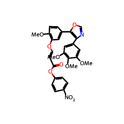 COc1ccc(-c2ocnc2-c2cc(OC)c(OC)c(OC)c2)cc1O/C=C/C(=O)Oc1ccc([N+](=O)[O-])cc1